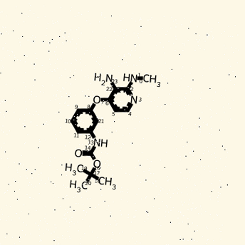 CNc1nccc(Oc2cccc(NC(=O)OC(C)(C)C)c2)c1N